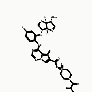 CO[C@@H]1CO[C@H]2[C@@H]1OC[C@H]2Oc1cc(F)ccc1Nc1ncnn2cc(C(=O)N=S3(=O)CCN(C(=O)C(C)F)CC3)c(C)c12